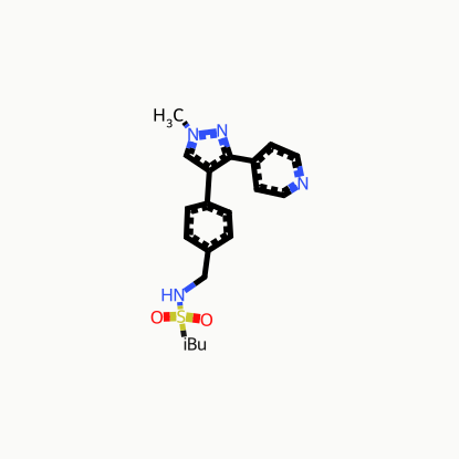 CCC(C)S(=O)(=O)NCc1ccc(-c2cn(C)nc2-c2ccncc2)cc1